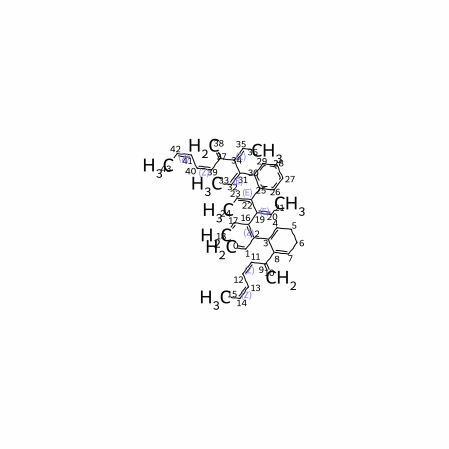 C=C/C(C1=CCCC=C1C(=C)/C=C\C=C/C)=C(C=C)/C(=C/C)C(=C\C)/c1ccccc1C(=C/C)/C(=C\C)C(=C)/C=C\C=C/C